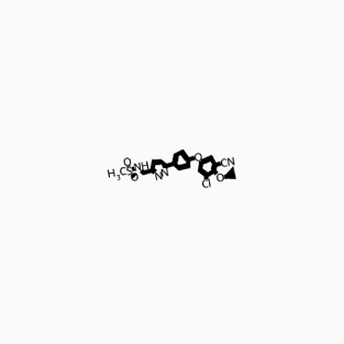 CS(=O)(=O)NCc1ccc(-c2ccc(Oc3cc(Cl)c(OC4CC4)c(C#N)c3)cc2)nn1